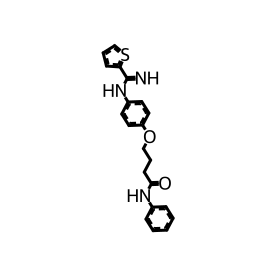 N=C(Nc1ccc(OCCCC(=O)Nc2ccccc2)cc1)c1cccs1